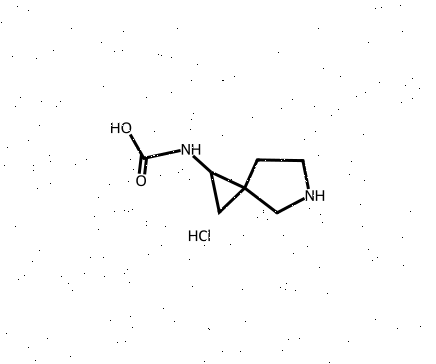 Cl.O=C(O)NC1CC12CCNC2